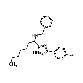 CCCCCCC(NCc1ccccc1)c1nc(-c2ccc(F)cc2)c[nH]1